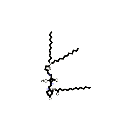 CCCCCCCCCCCCCC(=O)NC1=CC(=O)C=C/C1=C/C=C1/C(=O)C(/C=C/c2ccc(N(CCCCCCCCCCCC)CCCCCCCCCCCC)s2)=C1O